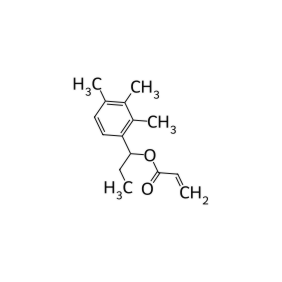 C=CC(=O)OC(CC)c1ccc(C)c(C)c1C